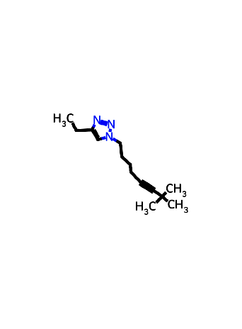 CCc1cn(CCCCC#CC(C)(C)C)nn1